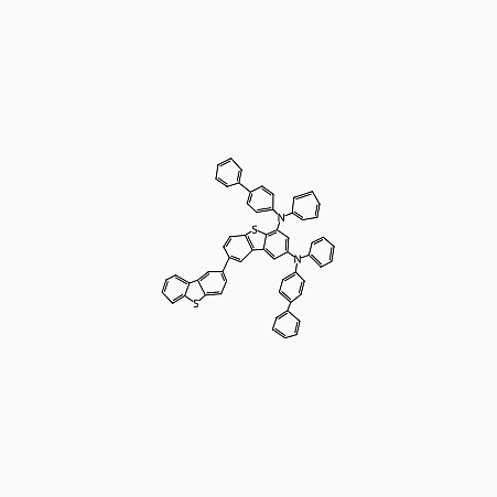 c1ccc(-c2ccc(N(c3ccccc3)c3cc(N(c4ccccc4)c4ccc(-c5ccccc5)cc4)c4sc5ccc(-c6ccc7sc8ccccc8c7c6)cc5c4c3)cc2)cc1